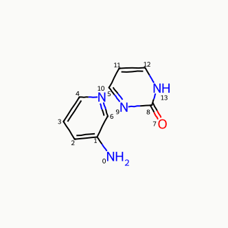 Nc1cccnc1.O=c1nccc[nH]1